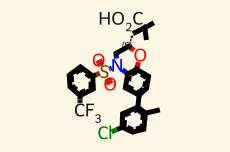 Cc1ccc(Cl)cc1-c1ccc2c(c1)N(S(=O)(=O)c1cccc(C(F)(F)F)c1)C[C@H](CC(C)(C)C(=O)O)O2